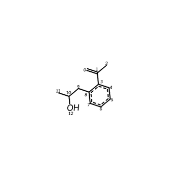 C=C(C)c1ccccc1CC(C)O